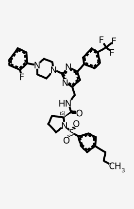 CCCc1ccc(S(=O)(=O)N2CCC[C@H]2C(=O)NCc2cc(-c3ccc(C(F)(F)F)cc3)nc(N3CCN(c4ccccc4F)CC3)n2)cc1